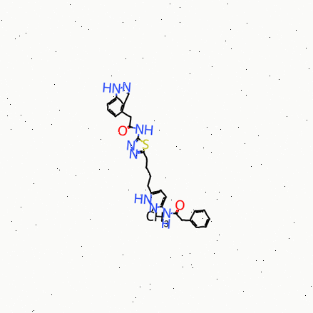 CN1NC(CCCCc2nnc(NC(=O)Cc3cccc4[nH]ncc34)s2)=CC=C1NC(=O)Cc1ccccc1